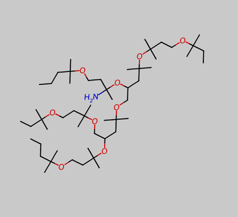 CCCC(C)(C)OCCC(C)(C)OC(COC(C)(C)CCOC(C)(C)CC)CC(C)(C)OCC(CC(C)(C)OC(C)(C)CCOC(C)(C)CC)OC(C)(N)CCOC(C)(C)CCC